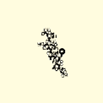 CCC[C@H](NC(=O)[C@H](Cc1ccccc1)NC(=O)[C@@H](NC(=O)[C@@H](NC(=O)[C@H](CCC(=O)O)NC(=O)[C@H](CCC(=O)O)NC(C)=O)C(C)C)C(C)C)C(=O)C(=O)NCC(=O)O